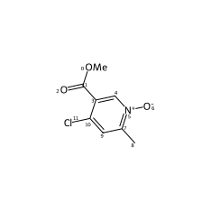 COC(=O)c1c[n+]([O-])c(C)cc1Cl